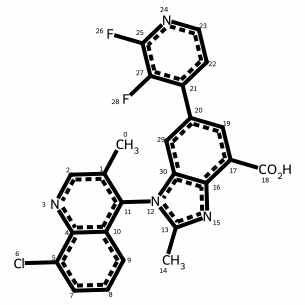 Cc1cnc2c(Cl)cccc2c1-n1c(C)nc2c(C(=O)O)cc(-c3ccnc(F)c3F)cc21